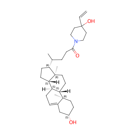 C=CC1(O)CCN(C(=O)CCC(C)[C@H]2CC[C@H]3[C@@H]4CC=C5C[C@@H](O)CC[C@]5(C)[C@H]4CC[C@]23C)CC1